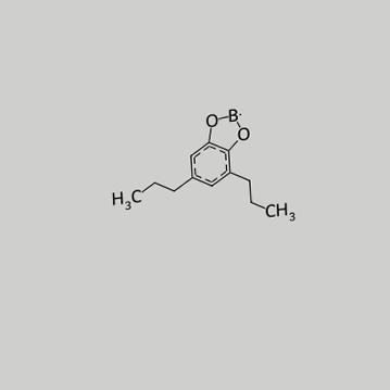 CCCc1cc(CCC)c2c(c1)O[B]O2